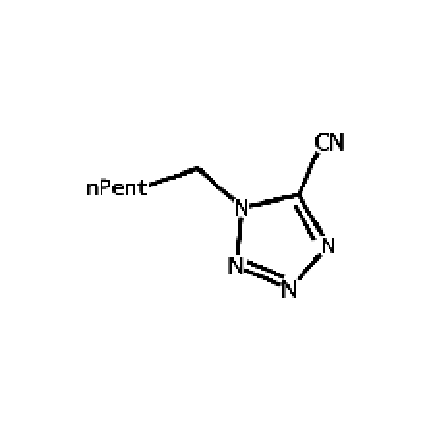 CCCCCCn1nnnc1C#N